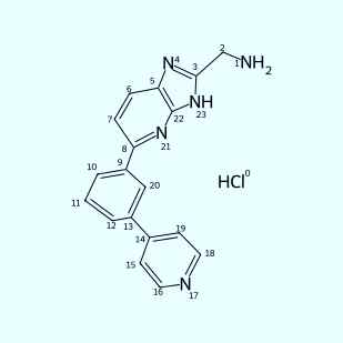 Cl.NCc1nc2ccc(-c3cccc(-c4ccncc4)c3)nc2[nH]1